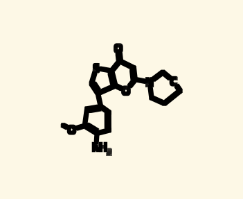 COc1cc(-c2csc3c(=O)cc(N4CCCCC4)oc23)ccc1N